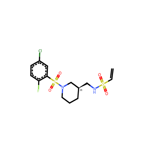 C=CS(=O)(=O)NC[C@H]1CCCN(S(=O)(=O)c2cc(Cl)ccc2F)C1